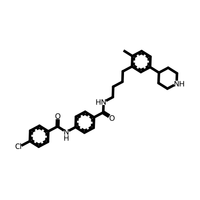 Cc1ccc(C2CCNCC2)cc1CCCCNC(=O)c1ccc(NC(=O)c2ccc(Cl)cc2)cc1